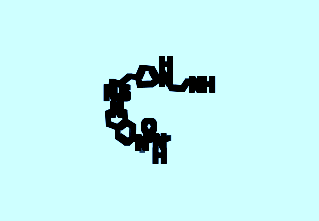 CNC(=O)N(C)c1ccc2c(c1)CN(c1ncc(Cc3ccc(N/C=C\C=N)cc3)s1)CC2